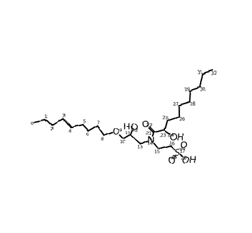 CCCCCCCCCOCC(O)CN(CCS(=O)(=O)O)C(=O)C(O)CCCCCCCC